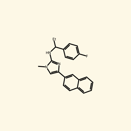 CCC(Nc1nc(-c2ccc3ccccc3c2)cn1C)c1ccc(F)cc1